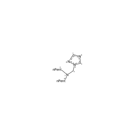 CCCCCN(CCCCC)Cn1cncn1